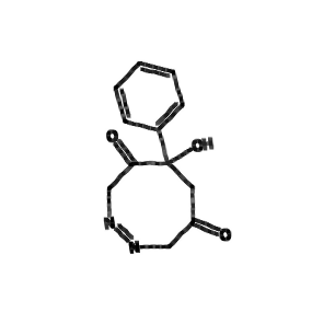 O=C1C/N=N\CC(=O)C(O)(c2ccccc2)C1